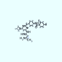 C/C(N)=C/C(=N)Nc1cc(N2CCC2)nc(Sc2ccc(NC(=O)c3ccc(F)cc3F)cc2)n1